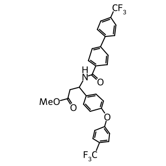 COC(=O)CC(NC(=O)c1ccc(-c2ccc(C(F)(F)F)cc2)cc1)c1ccc(Oc2ccc(C(F)(F)F)cc2)cc1